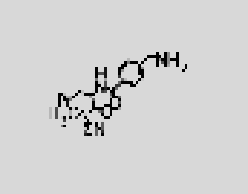 CC(C)CC(NC(=O)c1ccc(CN)cc1)C(=O)N(C)C#N